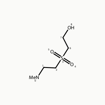 CNCCS(=O)(=O)CCO